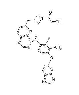 C=CC(=O)N1CC(Cc2ccc3ncnc(Nc4ccc(Oc5ccn6ncnc6c5)c(C)c4F)c3n2)C1